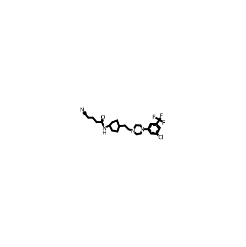 N#CCCCC(=O)NC1CCC(CCN2CCN(c3cc(Cl)cc(C(F)(F)F)c3)CC2)CC1